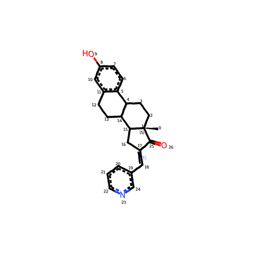 C[C@]12CCC3c4ccc(O)cc4CCC3C1C/C(=C\c1cccnc1)C2=O